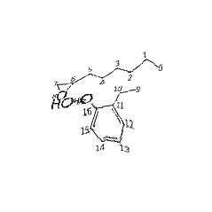 CCCCCCC1CO1.CCc1ccccc1OO